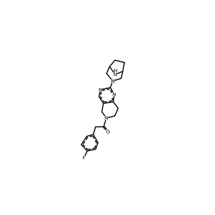 O=C(Cc1ccc(F)cc1)N1CCc2nc(N3CC4CCC(C3)N4)ncc2C1